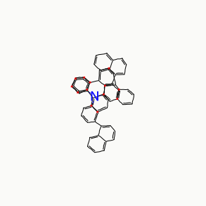 c1ccc(-c2ccccc2-c2c(-c3ccccc3)cccc2-c2ccccc2N(c2cccc(-c3cccc4ccccc34)c2)c2cccc(-c3cccc4ccccc34)c2)cc1